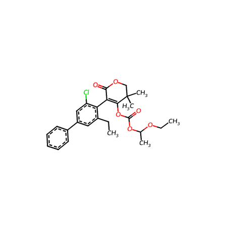 CCOC(C)OC(=O)OC1=C(c2c(Cl)cc(-c3ccccc3)cc2CC)C(=O)OCC1(C)C